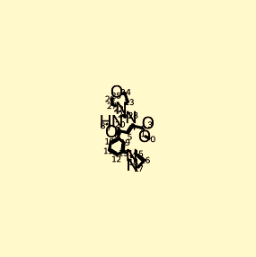 COC(=O)C1=CC(OC)(c2cccc(-n3cccn3)c2)NC(N2CCOCC2)=N1